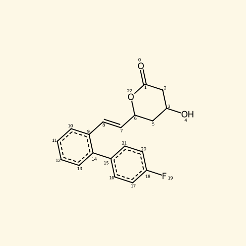 O=C1CC(O)CC(C=Cc2ccccc2-c2ccc(F)cc2)O1